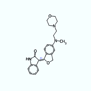 CN(CCN1CCOCC1)c1ccc2c(c1)CO/C2=C1/C(=O)Nc2ccccc21